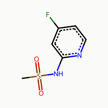 CS(=O)(=O)Nc1cc(F)ccn1